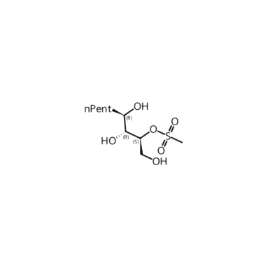 CCCCC[C@@H](O)[C@@H](O)[C@H](CO)OS(C)(=O)=O